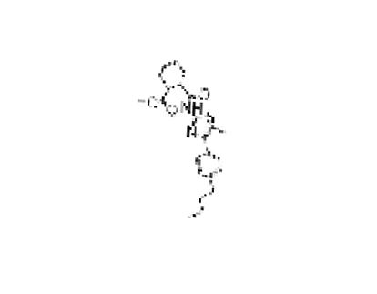 CCCCc1ccc(-c2nc(NC(=O)C3CC=CCC3C(=O)O)sc2C)cc1